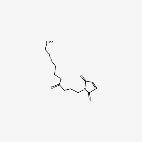 COCCOCCOC(=O)CCCN1C(=O)C=CC1=O